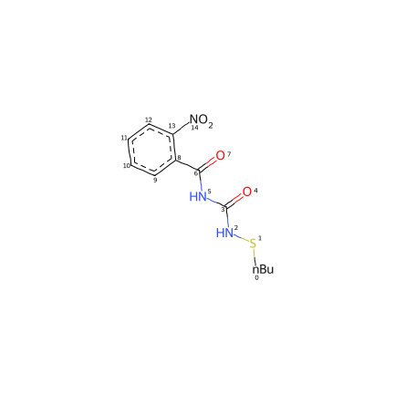 CCCCSNC(=O)NC(=O)c1ccccc1[N+](=O)[O-]